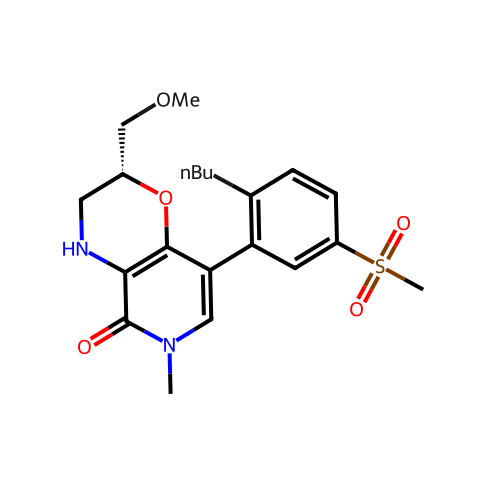 CCCCc1ccc(S(C)(=O)=O)cc1-c1cn(C)c(=O)c2c1O[C@@H](COC)CN2